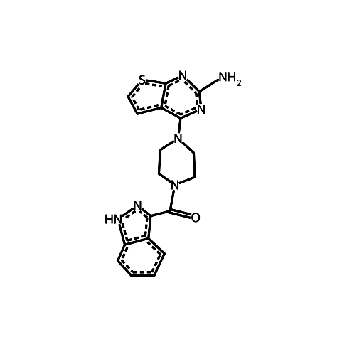 Nc1nc(N2CCN(C(=O)c3n[nH]c4ccccc34)CC2)c2ccsc2n1